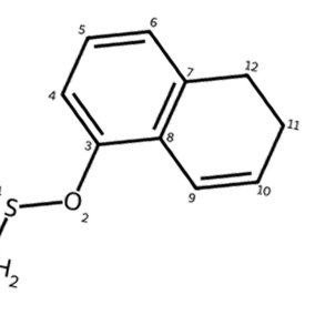 NSOc1cccc2c1C=CCC2